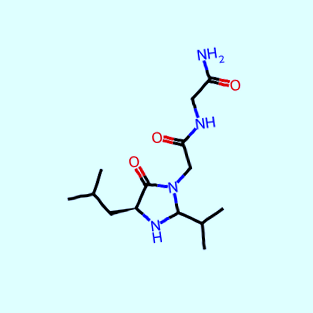 CC(C)C[C@@H]1NC(C(C)C)N(CC(=O)NCC(N)=O)C1=O